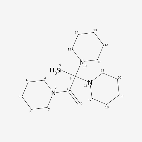 C=C(N1CCCCC1)C([SiH3])(N1CCCCC1)N1CCCCC1